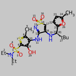 CCN(CC)S(=O)(=O)c1sc(C)c(NC2=NS(=O)(=O)C=C2N[C@@H](c2ccc(C)o2)C(C)(C)C)c1O